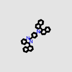 c1ccc2c(-c3nc(-c4ccc(-n5c6ccc7ccccc7c6c6c7ccccc7ccc65)cc4)nc4ccccc34)cccc2c1